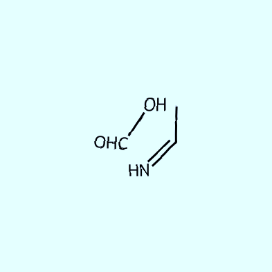 CC=N.O=CO